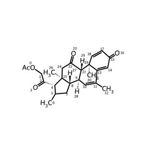 CC(=O)OCC(=O)[C@H]1C(C)C[C@H]2[C@@H]3C=C(C)C4=CC(=O)C=C[C@]4(C)[C@H]3C(=O)C[C@]12C